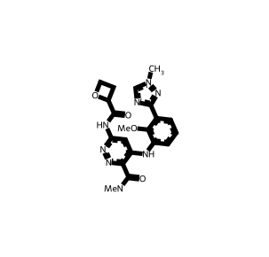 CNC(=O)c1nnc(NC(=O)C2CCO2)cc1Nc1cccc(-c2ncn(C)n2)c1OC